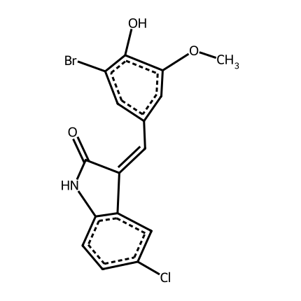 COc1cc(C=C2C(=O)Nc3ccc(Cl)cc32)cc(Br)c1O